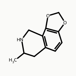 CC1Cc2ccc3c(c2CN1)OCO3